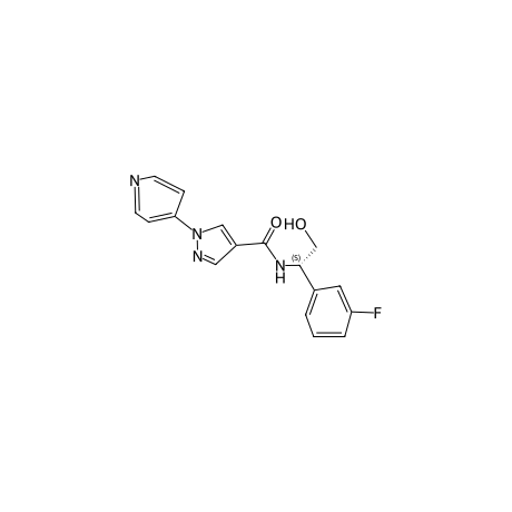 O=C(N[C@H](CO)c1cccc(F)c1)c1cnn(-c2ccncc2)c1